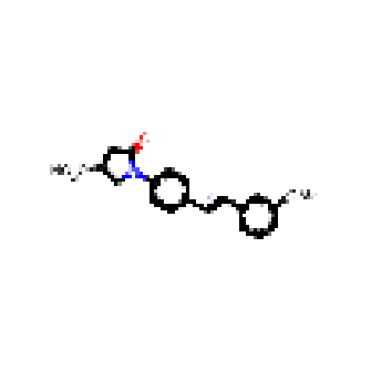 COc1cccc(/C=C/c2ccc(N3CC(C(=O)O)CC3=O)cc2)c1